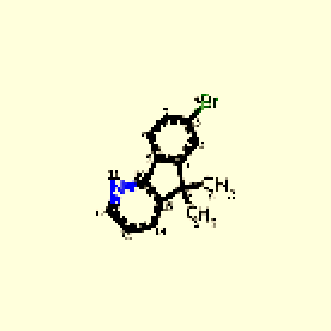 CC1(C)c2cc(Br)ccc2-c2ncccc21